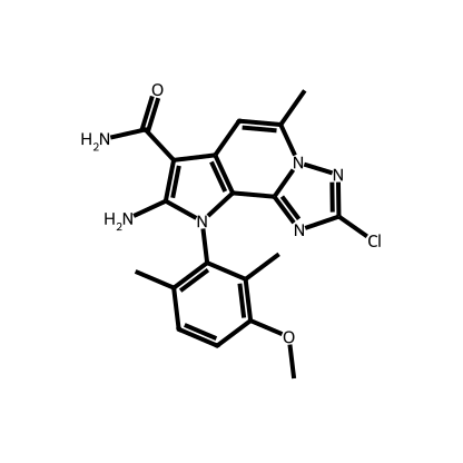 COc1ccc(C)c(-n2c(N)c(C(N)=O)c3cc(C)n4nc(Cl)nc4c32)c1C